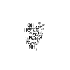 C[SiH](C)[C@]1(n2cnc3c(N)ncnc32)C[C@H](OC(C)(C)C)[C@@](C=NO)(CO)O1